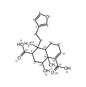 CC1(CCc2ccoc2)C(C(=O)O)CC(O)C2(C)C(C(=O)O)=CCCC12